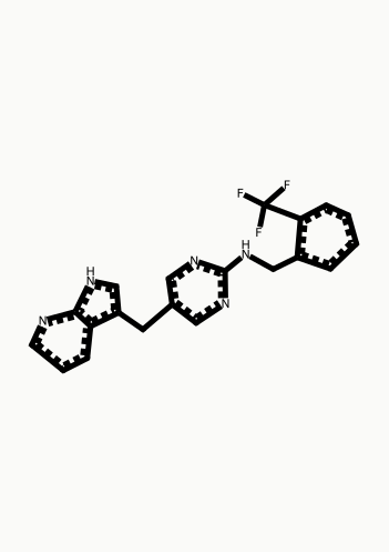 FC(F)(F)c1ccccc1CNc1ncc(Cc2c[nH]c3ncccc23)cn1